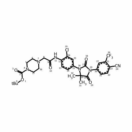 CC(C)(C)OC(=O)N1CCN(CC(=O)Nc2ccc(N3C(=O)N(c4ccc(C#N)c(C(F)(F)F)c4)C(=O)C3(C)C)cc2Cl)CC1